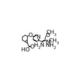 COC/C(=C(/N)c1ccc(OC2CCCC3C(C(=O)O)C23)cn1)N(C)N